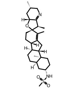 CC1=C2C[C@H]3[C@@H](CC[C@@H]4C[C@@H](NS(C)(=O)=O)CC[C@@]43C)[C@@H]2CC[C@]12O[C@@H]1C[C@H](C)CN=C1[C@H]2C